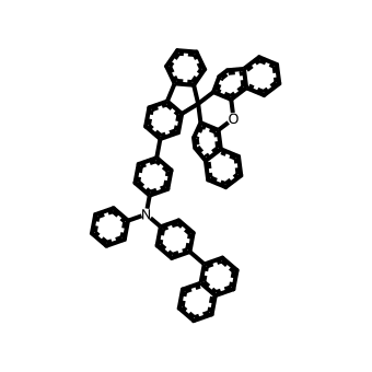 c1ccc(N(c2ccc(-c3ccc4c(c3)C3(c5ccccc5-4)c4ccc5ccccc5c4Oc4c3ccc3ccccc43)cc2)c2ccc(-c3cccc4ccccc34)cc2)cc1